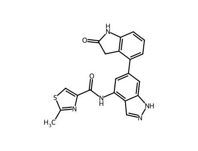 Cc1nc(C(=O)Nc2cc(-c3cccc4c3CC(=O)N4)cc3[nH]ncc23)cs1